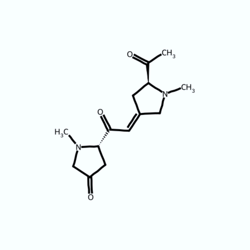 CC(=O)[C@@H]1C/C(=C\C(=O)[C@@H]2CC(=O)CN2C)CN1C